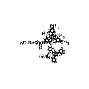 CCCCC(O)COc1ccccc1-c1nc(-c2ccccc2)nc(-c2ccccc2)n1.CCCCCCCCCCCCOCC(O)COc1ccc(-c2nc(-c3ccc(C)cc3C)nc(-c3ccc(C)cc3C)n2)c(O)c1